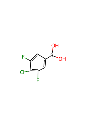 OB(O)c1cc(F)c(Cl)c(F)c1